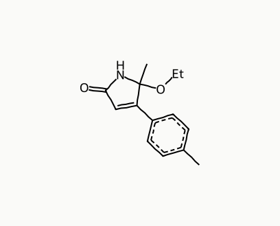 CCOC1(C)NC(=O)C=C1c1ccc(C)cc1